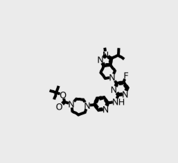 CC(C)c1c2c(nn1C)CCN(c1nc(Nc3ccc(N4CCCN(C(=O)OC(C)(C)C)CC4)cn3)ncc1F)C2